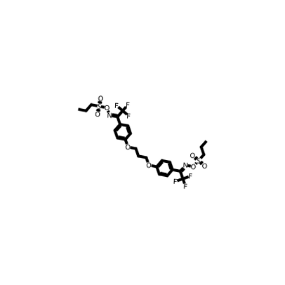 CCCS(=O)(=O)ON=C(c1ccc(OCCCOc2ccc(C(=NOS(=O)(=O)CCC)C(F)(F)F)cc2)cc1)C(F)(F)F